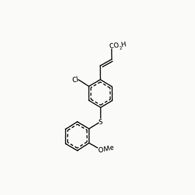 COc1ccccc1Sc1ccc(/C=C/C(=O)O)c(Cl)c1